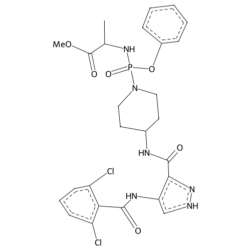 COC(=O)C(C)NP(=O)(Oc1ccccc1)N1CCC(NC(=O)c2n[nH]cc2NC(=O)c2c(Cl)cccc2Cl)CC1